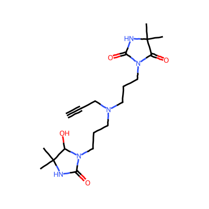 C#CCN(CCCN1C(=O)NC(C)(C)C1=O)CCCN1C(=O)NC(C)(C)C1O